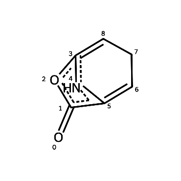 O=c1oc2[nH]c1=CCC=2